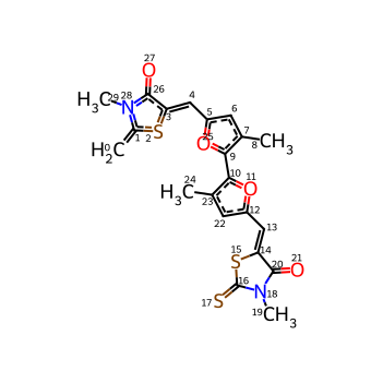 C=c1s/c(=C\c2cc(C)c(-c3oc(/C=C4\SC(=S)N(C)C4=O)cc3C)o2)c(=O)n1C